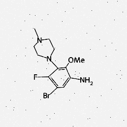 COc1c(N)cc(Br)c(F)c1N1CCN(C)CC1